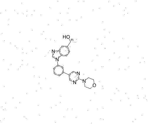 C[C@@H](O)c1ccc2c(c1)ncn2-c1cccc(-c2cnc(N3CCOCC3)nc2)c1